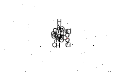 COC(=O)[C@H](CC1CCNC1=O)NC(=O)[C@H](CC1CCCCC1)NC(=O)OC(c1cccc(Cl)c1)C1(c2cccc(Cl)c2)CC1